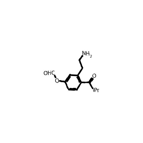 CC(C)C(=O)c1ccc(OC=O)cc1CCN